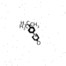 CC(C)(C)c1ccc(N2CCC(=O)CC2)cc1